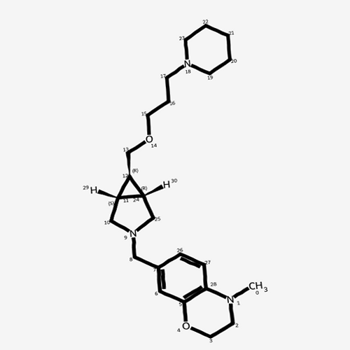 CN1CCOc2cc(CN3C[C@@H]4[C@@H](COCCCN5CCCCC5)[C@@H]4C3)ccc21